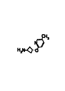 Cc1ccc(O[C@H]2C[C@H](N)C2)nc1